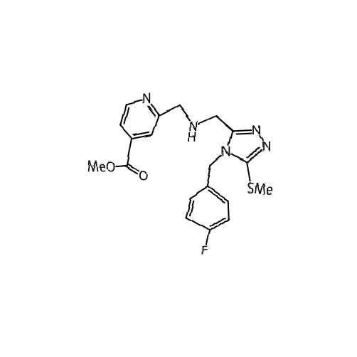 COC(=O)c1ccnc(CNCc2nnc(SC)n2Cc2ccc(F)cc2)c1